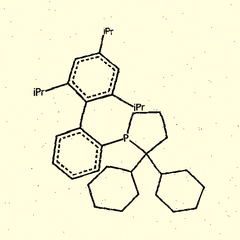 CC(C)c1cc(C(C)C)c(-c2ccccc2P2CCCC2(C2CCCCC2)C2CCCCC2)c(C(C)C)c1